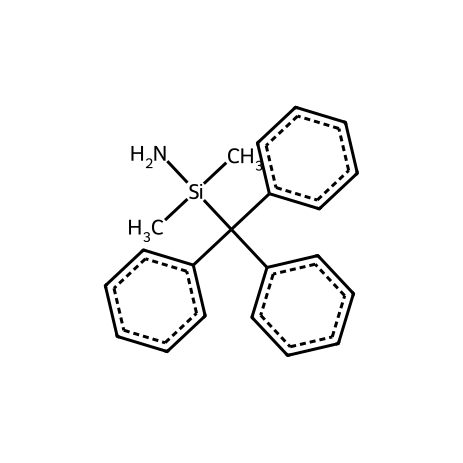 C[Si](C)(N)C(c1ccccc1)(c1ccccc1)c1ccccc1